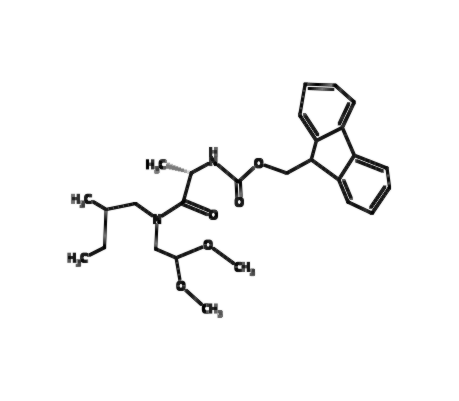 CCC(C)CN(CC(OC)OC)C(=O)[C@H](C)NC(=O)OCC1c2ccccc2-c2ccccc21